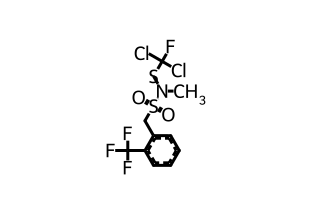 CN(SC(F)(Cl)Cl)S(=O)(=O)Cc1ccccc1C(F)(F)F